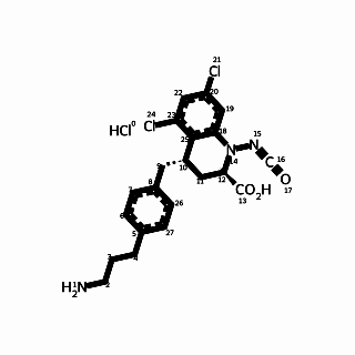 Cl.NCCCc1ccc(C[C@H]2C[C@H](C(=O)O)N(N=C=O)c3cc(Cl)cc(Cl)c32)cc1